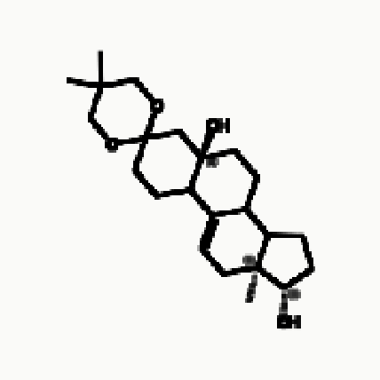 CC1(C)COC2(CCC3C4=CC[C@@]5(C)C(CC[C@@H]5O)C4CC[C@@]3(O)C2)OC1